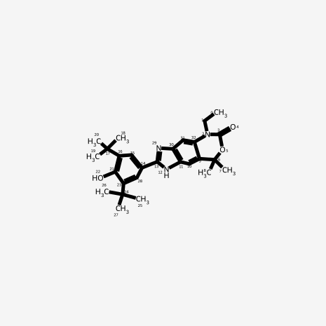 CCN1C(=O)OC(C)(C)c2cc3[nH]c(-c4cc(C(C)(C)C)c(O)c(C(C)(C)C)c4)nc3cc21